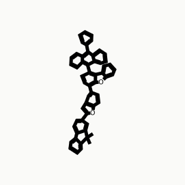 CC1(C)c2ccccc2-c2ccc(-c3cc4cc(-c5ccc(-c6c7ccccc7c(-c7ccccc7)c7ccccc67)c6c5oc5ccccc56)ccc4o3)cc21